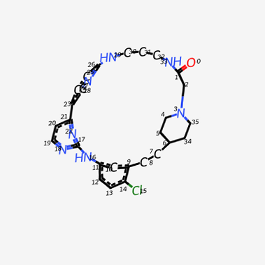 O=C1CN2CCC(CCc3cc(ccc3Cl)Nc3nccc(n3)-c3ccc(nc3)NCCCN1)CC2